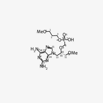 COCCCOP(=O)(O)CO[C@H](COC)Cn1cnc2c(N)nc(N)nc21